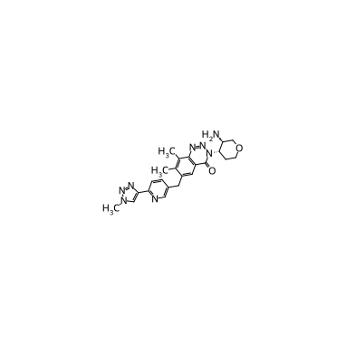 Cc1c(Cc2ccc(-c3cn(C)nn3)nc2)cc2c(=O)n([C@H]3CCOC[C@@H]3N)nnc2c1C